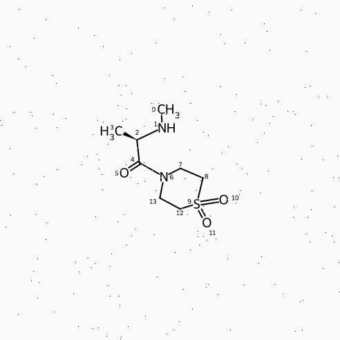 CN[C@H](C)C(=O)N1CCS(=O)(=O)CC1